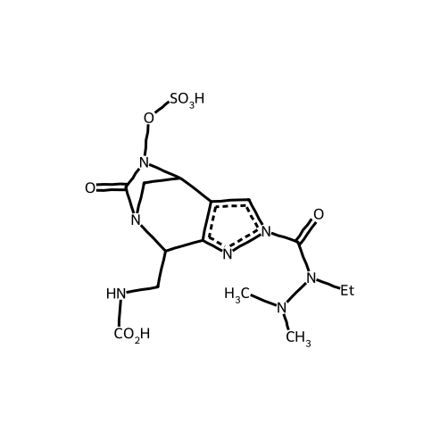 CCN(C(=O)n1cc2c(n1)C(CNC(=O)O)N1CC2N(OS(=O)(=O)O)C1=O)N(C)C